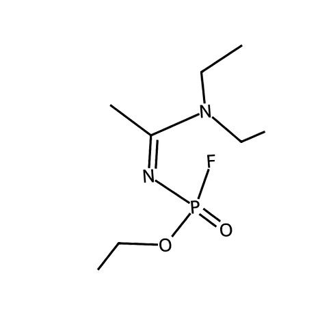 CCOP(=O)(F)N=C(C)N(CC)CC